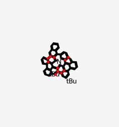 CC1C=C(N(c2ccccc2-c2cccc3ccccc23)c2ccccc2-c2cccc3cccc(-c4ccccc4)c23)C(c2cccc3cccc(-c4cc(C(C)(C)C)cc(C(C)(C)C)c4)c23)=CC1